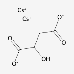 O=C([O-])CC(O)C(=O)[O-].[Cs+].[Cs+]